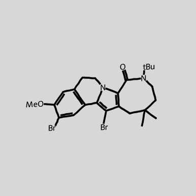 COc1cc2c(cc1Br)-c1c(Br)c3c(n1CC2)C(=O)N(C(C)(C)C)CCC(C)(C)C3